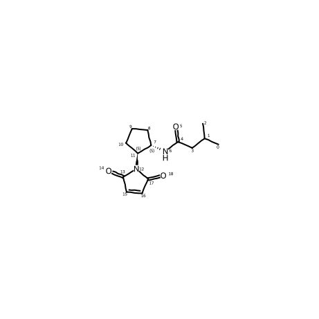 CC(C)CC(=O)N[C@H]1CCC[C@@H]1N1C(=O)C=CC1=O